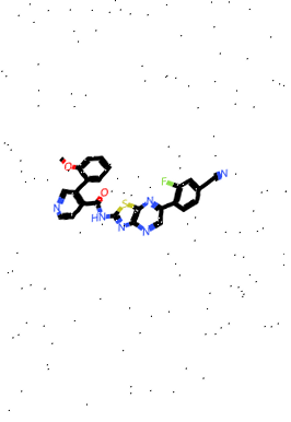 COc1ccccc1-c1cnccc1C(=O)Nc1nc2ncc(-c3ccc(C#N)cc3F)nc2s1